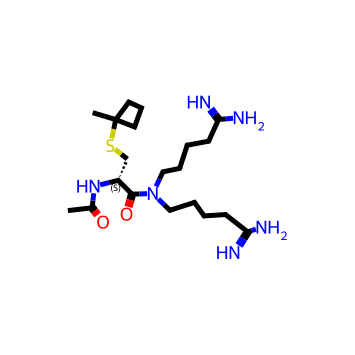 CC(=O)N[C@H](CSC1(C)CCC1)C(=O)N(CCCCC(=N)N)CCCCC(=N)N